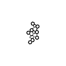 c1ccc(-c2nc3c(ccc4ccccc43)nc2-n2c3cccc4c3c3c(ccc(-c5ccccc5)c32)c2cccc3c5ccccc5n4c23)cc1